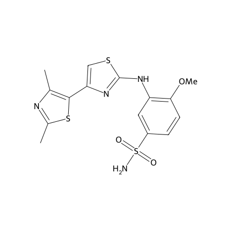 COc1ccc(S(N)(=O)=O)cc1Nc1nc(-c2sc(C)nc2C)cs1